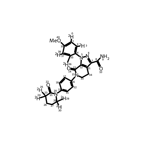 [2H]c1c([2H])c(-n2nc(C(N)=O)c3c2C(=O)N(c2ccc(N4C(=O)C([2H])([2H])CCC4([2H])[2H])cc2)CC3)c([2H])c([2H])c1OC